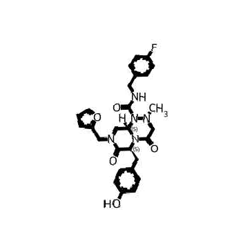 CN1CC(=O)N2[C@@H](Cc3ccc(O)cc3)C(=O)N(Cc3ccco3)C[C@@H]2N1C(=O)NCc1ccc(F)cc1